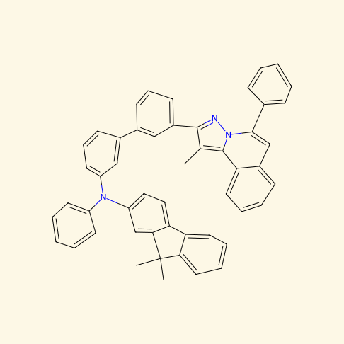 Cc1c(-c2cccc(-c3cccc(N(c4ccccc4)c4ccc5c(c4)C(C)(C)c4ccccc4-5)c3)c2)nn2c(-c3ccccc3)cc3ccccc3c12